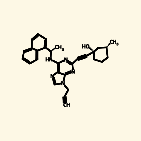 C#CCn1cnc2c(N[C@@H](C)c3cccc4ccccc34)nc(C#C[C@]3(O)CCC[C@@H](C)C3)nc21